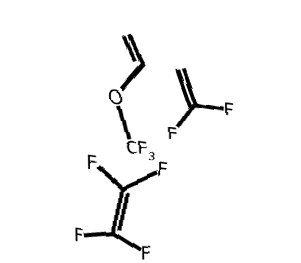 C=C(F)F.C=COC(F)(F)F.FC(F)=C(F)F